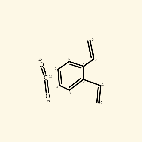 C=Cc1ccccc1C=C.O=C=O